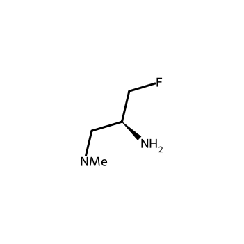 CNC[C@H](N)CF